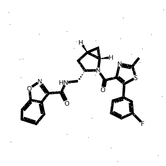 Cc1nc(C(=O)N2[C@H](CNC(=O)c3noc4ccccc34)C[C@@H]3C[C@@H]32)c(-c2cccc(F)c2)s1